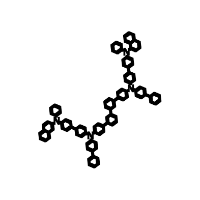 c1ccc(-c2ccc(N(c3ccc(-c4ccc(N(c5ccccc5)c5ccc6ccccc6c5)cc4)cc3)c3ccc(-c4cccc(-c5cccc(-c6ccc(N(c7ccc(-c8ccccc8)cc7)c7ccc(-c8ccc(N(c9ccccc9)c9cccc%10ccccc9%10)cc8)cc7)cc6)c5)c4)cc3)cc2)cc1